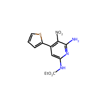 CCOC(=O)Nc1cc(-c2cccs2)c([N+](=O)[O-])c(N)n1